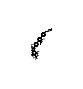 C/C=C/CCc1ccc(-c2ccc(-c3ccc(C(F)(F)Oc4cc(F)c(C(F)(F)F)c(F)c4)cc3)c(F)c2F)cc1